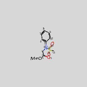 COC(=O)CN(c1ccccc1)S(C)(=O)=O